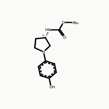 CC(C)(C)OC(=O)N[C@H]1CCN(c2ccc(O)cc2)C1